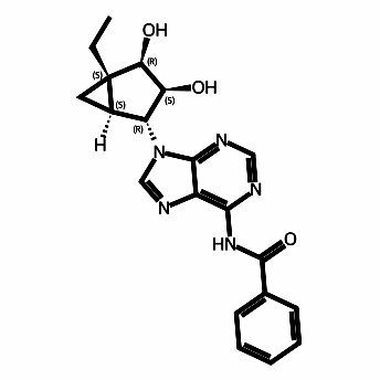 CC[C@]12C[C@@H]1[C@@H](n1cnc3c(NC(=O)c4ccccc4)ncnc31)[C@H](O)[C@@H]2O